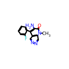 Cn1c(=O)c(N)c(-c2ccccc2F)c2cnncc21